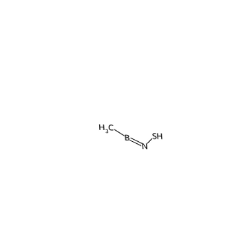 CB=NS